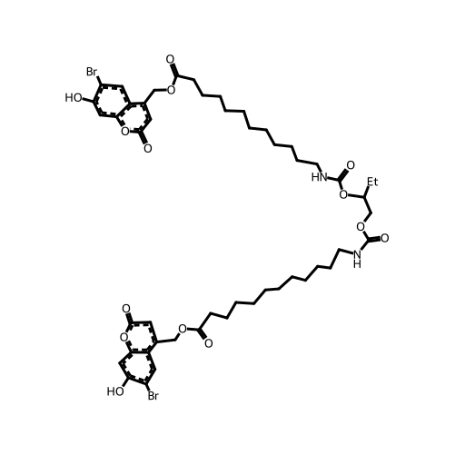 CCC(COC(=O)NCCCCCCCCCCCC(=O)OCc1cc(=O)oc2cc(O)c(Br)cc12)OC(=O)NCCCCCCCCCCCC(=O)OCc1cc(=O)oc2cc(O)c(Br)cc12